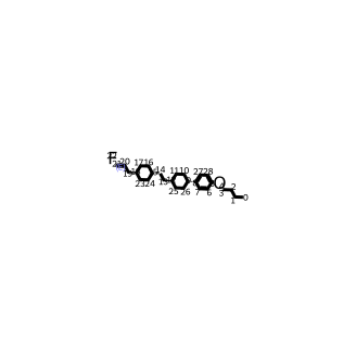 CCCCOc1ccc([C@H]2CC[C@H](CC[C@H]3CC[C@H](C/C=C/F)CC3)CC2)cc1